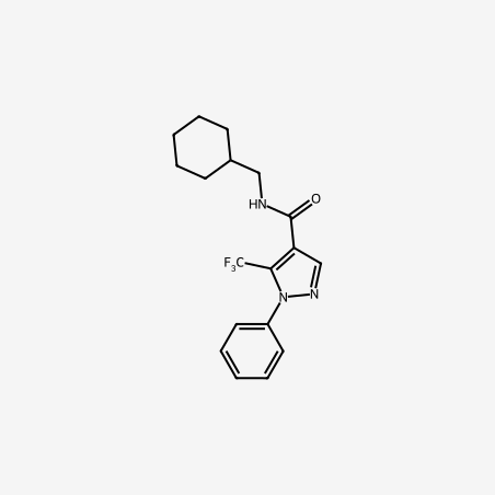 O=C(NCC1CCCCC1)c1cnn(-c2ccccc2)c1C(F)(F)F